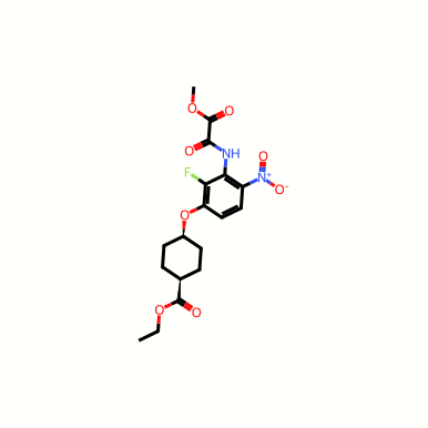 CCOC(=O)[C@H]1CC[C@@H](Oc2ccc([N+](=O)[O-])c(NC(=O)C(=O)OC)c2F)CC1